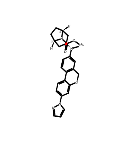 CN(c1ccc2c(c1)COc1cc(-n3cccn3)ccc1-2)[C@H]1C[C@H]2CC[C@@H](C1)N2C(=O)OC(C)(C)C